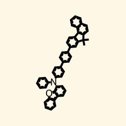 CC1(C)c2cc(-c3ccc(-c4ccc(N(c5ccccc5)c5cccc6c5oc5ccccc56)cc4)cc3)ccc2-c2c1ccc1ccccc21